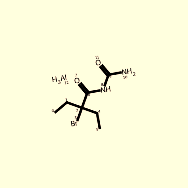 CCC(Br)(CC)C(=O)NC(N)=O.[AlH3]